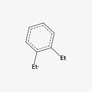 C[CH]c1ccccc1CC